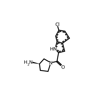 N[C@@H]1CCN(C(=O)c2cc3ccc(Cl)cc3[nH]2)C1